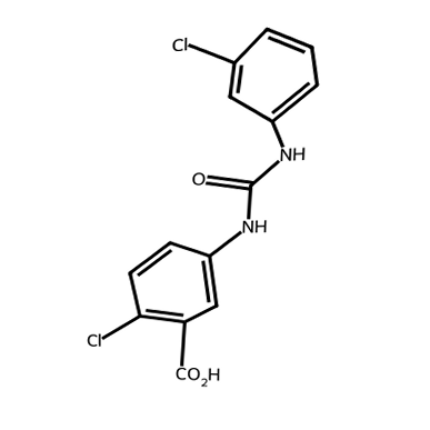 O=C(Nc1cccc(Cl)c1)Nc1ccc(Cl)c(C(=O)O)c1